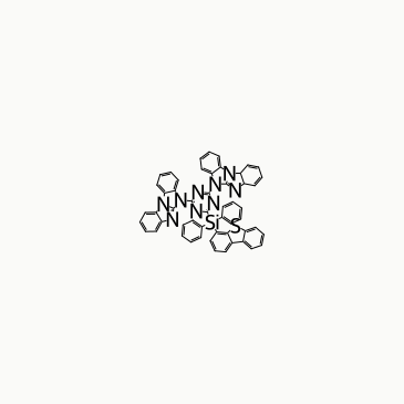 C1=CC2N=C3N(c4nc(-n5c6ccccc6n6c7ccccc7nc56)nc([Si](c5ccccc5)(c5ccccc5)c5cccc6c5sc5ccccc56)n4)c4ccccc4N3C2C=C1